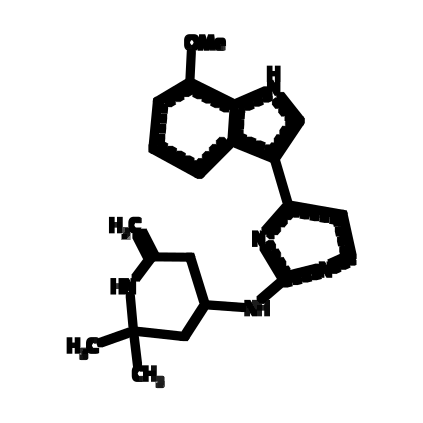 C=C1CC(Nc2nccc(-c3c[nH]c4c(OC)cccc34)n2)CC(C)(C)N1